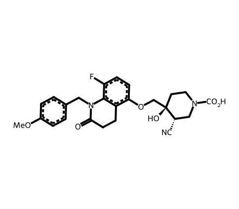 COc1ccc(CN2C(=O)CCc3c(OC[C@]4(O)CCN(C(=O)O)C[C@@H]4C#N)ccc(F)c32)cc1